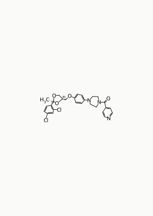 C[C@]1(c2ccc(Cl)cc2Cl)OC[C@@H](COc2ccc(N3CCN(C(=O)c4ccncc4)CC3)cc2)O1